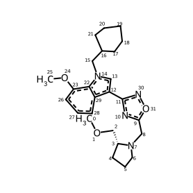 COC[C@H]1CCCN1Cc1nc(-c2cn(CC3CCCCC3)c3c(OC)cccc23)no1